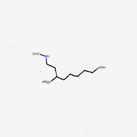 CCCCCCCCCCCCCCCC(CCCCCCC)CCN[C]=O